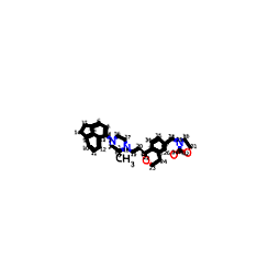 C[C@@H]1CN(c2ccc3c4c(cccc24)CC3)CCN1CC[C@@H]1OCCc2cc(CN3CCOC3=O)ccc21